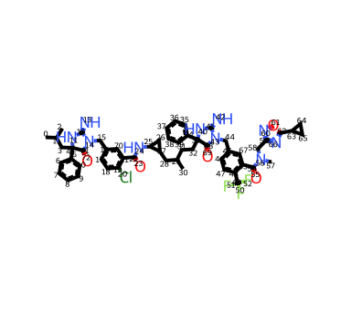 CC(C)CC1(c2ccccc2)NC(=N)N(Cc2ccc(Cl)c(C(=O)NC3CC3CC(C)CCC3(c4ccccc4)NC(=N)N(Cc4ccc(C(F)(F)F)c(C(=O)N(C)Cc5noc(C6CC6)n5)c4)C3=O)c2)C1=O